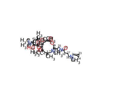 CO[C@]1(C)C[C@@H](C)CN(C)[C@H](C2CN(C(=O)CCCN(C)CC3CC3)C2)COC(=O)C(C)(C)C(=O)[C@H](C)[C@H]1O[C@@H]1O[C@H](C)C[C@H](N(C)C)[C@H]1O